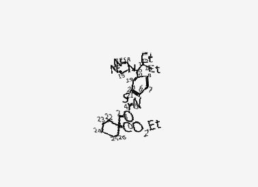 CCOC(=O)C1(COc2nc3ccc(C(C(CC)CC)n4cnnc4)cc3s2)CCCCC1